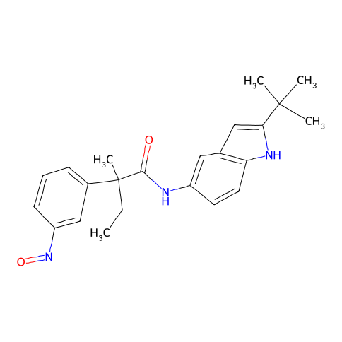 CCC(C)(C(=O)Nc1ccc2[nH]c(C(C)(C)C)cc2c1)c1cccc(N=O)c1